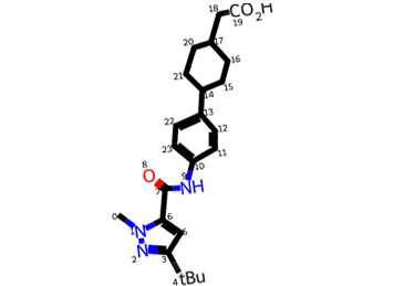 Cn1nc(C(C)(C)C)cc1C(=O)Nc1ccc(C2CCC(CC(=O)O)CC2)cc1